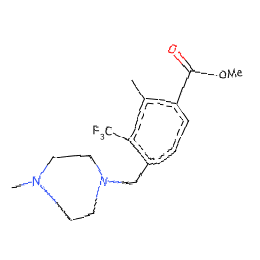 COC(=O)c1ccc(CN2CCN(C)CC2)c(C(F)(F)F)c1C